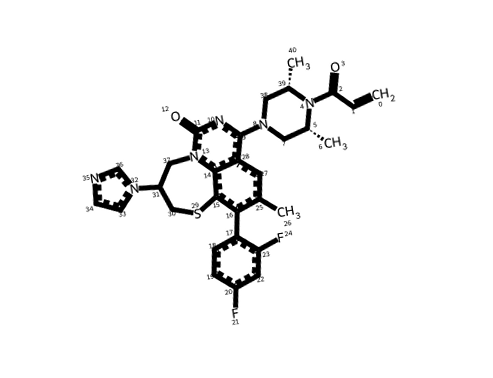 C=CC(=O)N1[C@H](C)CN(c2nc(=O)n3c4c(c(-c5ccc(F)cc5F)c(C)cc24)SCC(n2ccnc2)C3)C[C@@H]1C